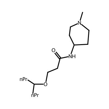 CCCC(CCC)OCCC(=O)NC1CCN(C)CC1